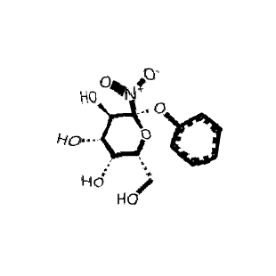 O=[N+]([O-])[C@@]1(Oc2ccccc2)O[C@H](CO)[C@H](O)[C@H](O)[C@H]1O